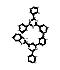 c1ccc(-c2nc(-c3cccc(-c4cccc(-c5nc(-c6ccccc6)nc(-c6ccccc6)n5)c4)c3)cc(-c3nc4ccccc4s3)n2)cc1